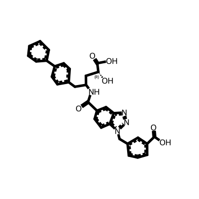 O=C(O)c1cccc(Cn2nnc3cc(C(=O)NC(Cc4ccc(-c5ccccc5)cc4)C[C@@H](O)C(=O)O)ccc32)c1